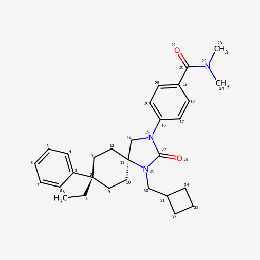 CC[C@]1(c2ccccc2)CC[C@]2(CC1)CN(c1ccc(C(=O)N(C)C)cc1)C(=O)N2CC1CCC1